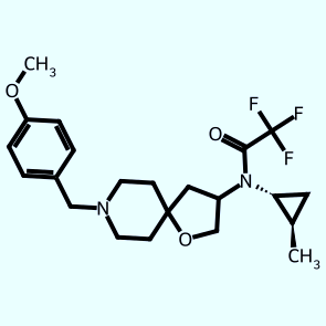 COc1ccc(CN2CCC3(CC2)CC(N(C(=O)C(F)(F)F)[C@@H]2C[C@H]2C)CO3)cc1